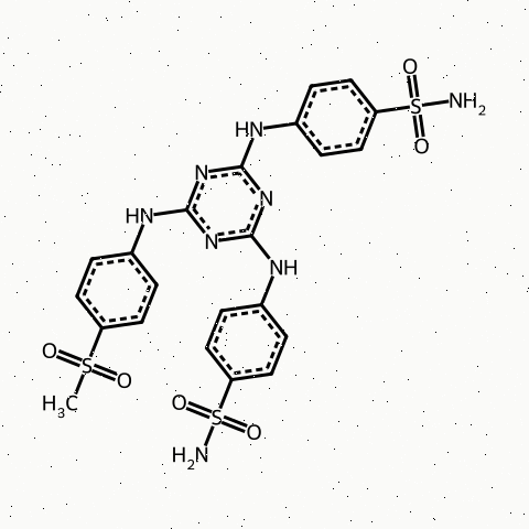 CS(=O)(=O)c1ccc(Nc2nc(Nc3ccc(S(N)(=O)=O)cc3)nc(Nc3ccc(S(N)(=O)=O)cc3)n2)cc1